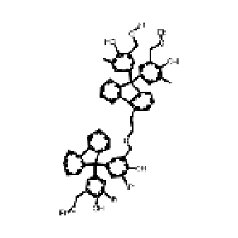 CCOCc1cc(C2(c3cc(C)c(O)c(COCC)c3)c3ccccc3-c3c(CCOCc4cc(C5(c6cc(COCC)c(O)c(C(C)C)c6)c6ccccc6-c6ccccc65)cc(C(C)C)c4O)cccc32)cc(C)c1O